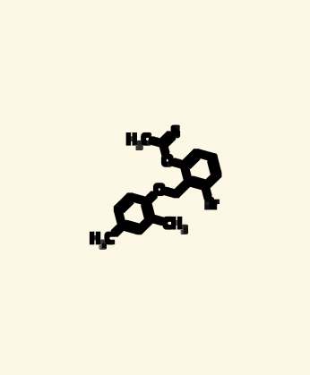 CC(=S)Oc1cccc(Br)c1COc1ccc(C)cc1C